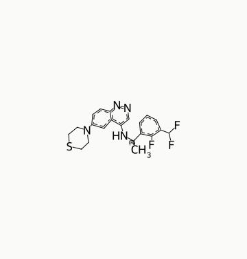 C[C@@H](Nc1cnnc2ccc(N3CCSCC3)cc12)c1cccc(C(F)F)c1F